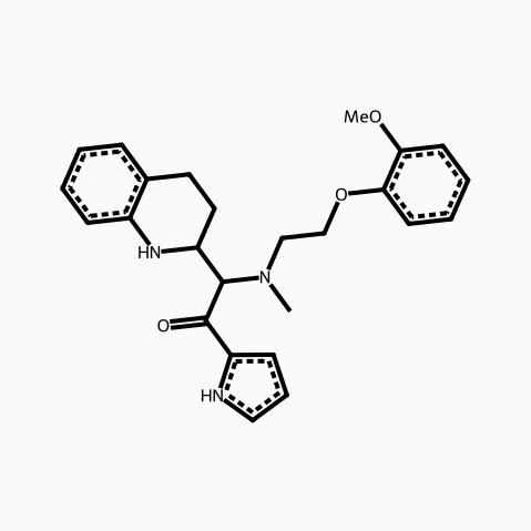 COc1ccccc1OCCN(C)C(C(=O)c1ccc[nH]1)C1CCc2ccccc2N1